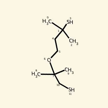 CC(C)(S)CCOC(C)(C)CS